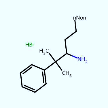 Br.CCCCCCCCCCCC(N)C(C)(C)c1ccccc1